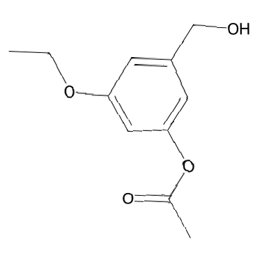 CCOc1cc(CO)cc(OC(C)=O)c1